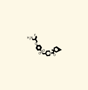 CC1(C(=O)N2CCC(CS(=O)(=O)c3ccc(OC/C(=C/F)CN)cc3)CC2)CC=C2CC2C1